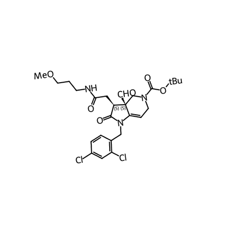 COCCCNC(=O)C[C@@H]1C(=O)N(Cc2ccc(Cl)cc2Cl)C2=CCN(C(=O)OC(C)(C)C)C[C@]21C=O